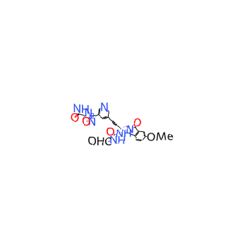 COc1ccc2c(c1)C(=O)N(C[C@@H](C#Cc1cncc(-c3noc(C(N)=O)n3)c1)NC(=O)NC=O)C2